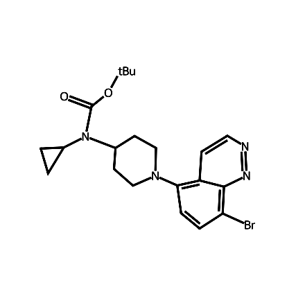 CC(C)(C)OC(=O)N(C1CC1)C1CCN(c2ccc(Br)c3nnccc23)CC1